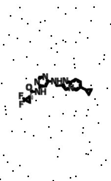 O=C(Nc1cc(NCc2cn3cc(C4CC4)ccc3n2)ncn1)[C@@H]1CC1(F)F